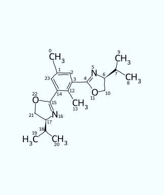 Cc1cc(C2=N[C@@H](C(C)C)CO2)c(C)c(C2=N[C@@H](C(C)C)CO2)c1